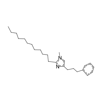 CCCCCCCCCCCCc1nc(CCCc2ccccc2)cn1C